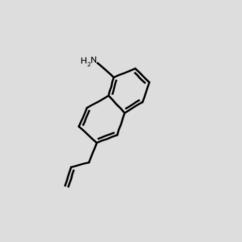 C=CCc1ccc2c(N)cccc2c1